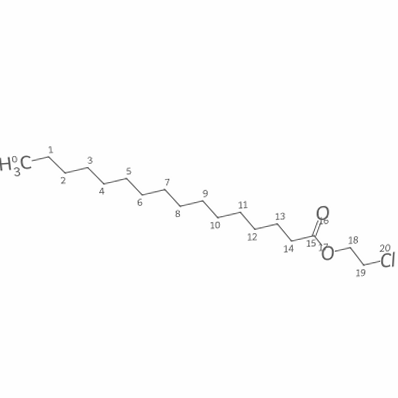 CCCCCCCCCCCCCCCC(=O)OCCCl